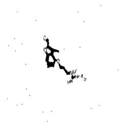 Cc1c([C]=O)oc2cccc(OCCCNC(=N)N)c12